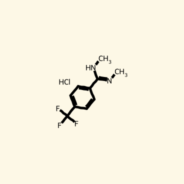 C/N=C(\NC)c1ccc(C(F)(F)F)cc1.Cl